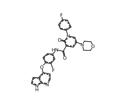 O=C(Nc1ccc(Oc2ccnc3[nH]ccc23)c(F)c1)c1cc(N2CCOCC2)cn(-c2ccc(F)cc2)c1=O